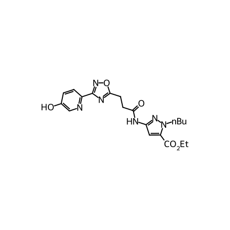 CCCCn1nc(NC(=O)CCc2nc(-c3ccc(O)cn3)no2)cc1C(=O)OCC